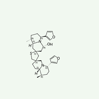 C[C@@H]1CC[C@@H](c2ccoc2)N2C[C@@]3(CC[C@@H]12)CS[C@@]1(C[C@@H](O)N2[C@H](c4ccoc4)CC[C@@H](C)[C@@H]2C1)C3